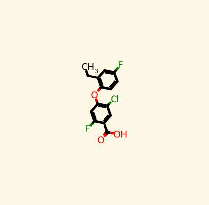 CCc1cc(F)ccc1Oc1cc(F)c(C(=O)O)cc1Cl